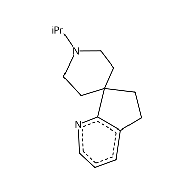 CC(C)N1CCC2(CCc3cccnc32)CC1